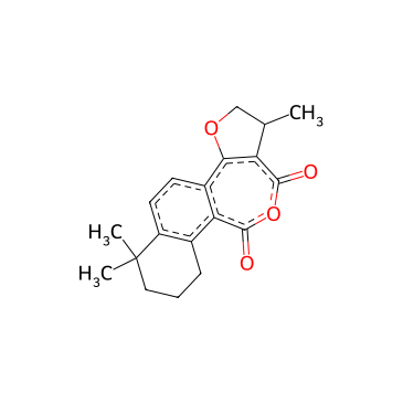 CC1COc2c1c(=O)oc(=O)c1c3c(ccc21)C(C)(C)CCC3